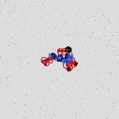 COCOc1ccccc1-c1cc2c(nn1)c(N(C(=O)OC(C)(C)C)C(=O)OC(C)(C)C)nn2C1CCN(c2ccnc(OCC(OC)OC)c2)CC1